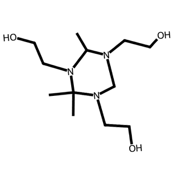 CC1N(CCO)CN(CCO)C(C)(C)N1CCO